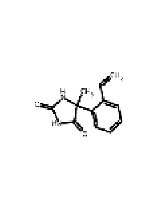 C=Cc1ccccc1C1(C)NC(=O)NC1=O